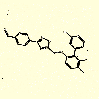 Cc1ccc(OCc2nc(-c3ccc(C=O)cc3)no2)c(-c2cccc(Cl)c2)c1C